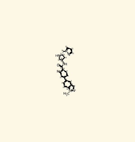 Cn1ncc2cc(-c3ccc(C(=O)N[C@H]4CN[C@H](Cn5cccn5)C4)c(F)c3)ccc21